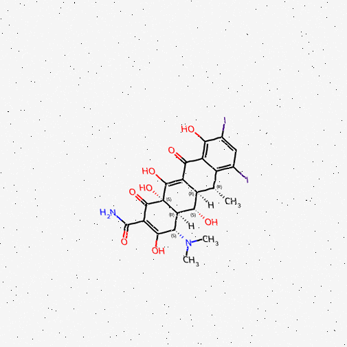 C[C@H]1c2c(I)cc(I)c(O)c2C(=O)C2=C(O)[C@]3(O)C(=O)C(C(N)=O)=C(O)[C@@H](N(C)C)[C@@H]3[C@@H](O)[C@@H]21